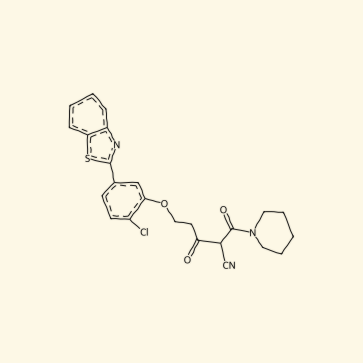 N#CC(C(=O)CCOc1cc(-c2nc3ccccc3s2)ccc1Cl)C(=O)N1CCCCC1